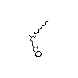 CCCCCCCC(=O)OC(C)CCCNCc1ccccc1